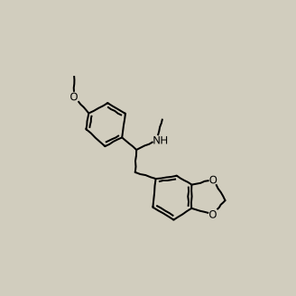 CNC(Cc1ccc2c(c1)OCO2)c1ccc(OC)cc1